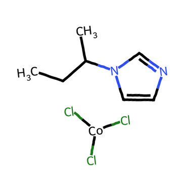 CCC(C)n1ccnc1.[Cl][Co]([Cl])[Cl]